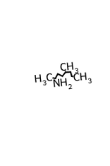 CCC[C@@H](C)CCC(C)N